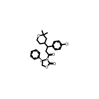 CC1(C)CC(C(CC(=O)N2C(=O)OC[C@H]2c2ccccc2)c2ccc(Cl)cc2)CCO1